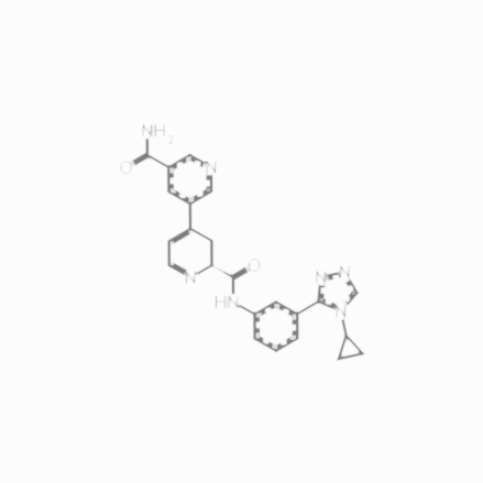 NC(=O)c1cncc(C2=CC=N[C@H](C(=O)Nc3cccc(-c4nncn4C4CC4)c3)C2)c1